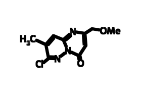 COCc1cc(=O)n2nc(Cl)c(C)cc2n1